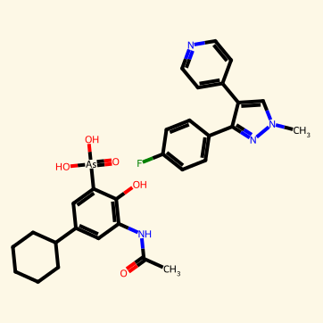 CC(=O)Nc1cc(C2CCCCC2)cc([As](=O)(O)O)c1O.Cn1cc(-c2ccncc2)c(-c2ccc(F)cc2)n1